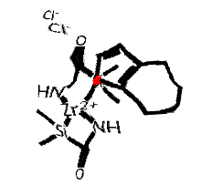 C[Si]1(C)C(=O)[NH][Zr+2]12([CH]1C=CC3=C1CCCC3)[NH]C(=O)[Si]2(C)C.[Cl-].[Cl-]